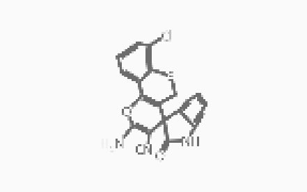 N#CC1=C(N)OC2=C(CSc3c(Cl)cccc32)C12C(=O)Nc1ccccc12